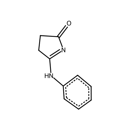 O=C1CCC(Nc2ccccc2)=N1